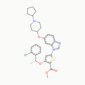 COC(=O)c1sc(-n2cnc3ccc(OC4CCN(C5CCCC5)CC4)cc32)cc1O[C@H](C)c1ccccc1Cl